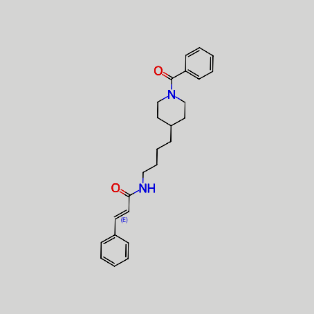 O=C(/C=C/c1ccccc1)NCCCCC1CCN(C(=O)c2ccccc2)CC1